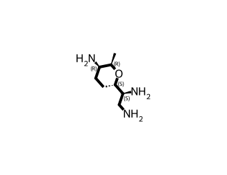 C[C@H]1O[C@H]([C@@H](N)CN)CC[C@H]1N